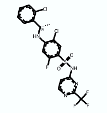 C[C@H](Nc1cc(F)c(S(=O)(=O)Nc2ccnc(C(F)(F)F)n2)cc1Cl)c1ccccc1Cl